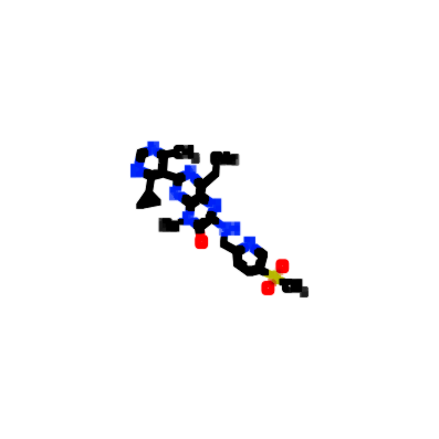 CC[C@@H](C)n1c(=O)c(NCc2ccc(S(C)(=O)=O)cn2)nc2c(COC(C)=O)nc(-c3c(C)ncnc3C3CC3)nc21